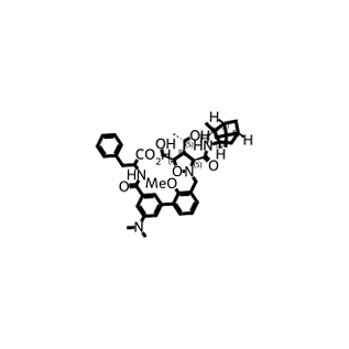 COc1c(CN2O[C@@H](CO)[C@@H]([C@H](C)O)[C@H]2C(=O)N[C@H]2C[C@H]3C[C@@H]([C@@H]2C)C3(C)C)cccc1-c1cc(C(=O)NC(Cc2ccccc2)C(=O)O)cc(N(C)C)c1